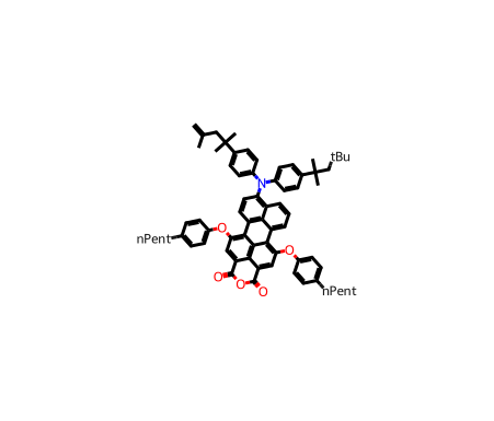 C=C(C)CC(C)(C)c1ccc(N(c2ccc(C(C)(C)CC(C)(C)C)cc2)c2ccc3c4c(Oc5ccc(CCCCC)cc5)cc5c6c(cc(Oc7ccc(CCCCC)cc7)c(c7cccc2c73)c64)C(=O)OC5=O)cc1